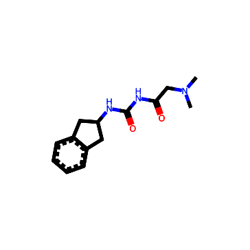 CN(C)CC(=O)NC(=O)NC1Cc2ccccc2C1